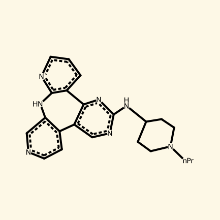 CCCN1CCC(Nc2ncc3c(n2)-c2cccnc2Nc2cnccc2-3)CC1